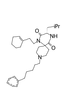 CC(C)C[C@@H]1NC(=O)C2(CCN(CCCCCc3ccccc3)CC2)N(CCC2=CCCCC2)C1=O